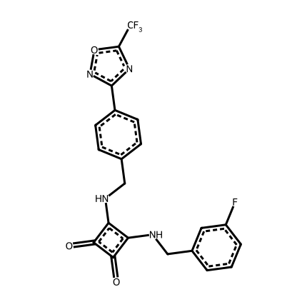 O=c1c(NCc2ccc(-c3noc(C(F)(F)F)n3)cc2)c(NCc2cccc(F)c2)c1=O